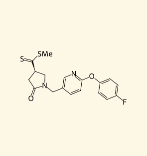 CSC(=S)[C@@H]1CC(=O)N(Cc2ccc(Oc3ccc(F)cc3)nc2)C1